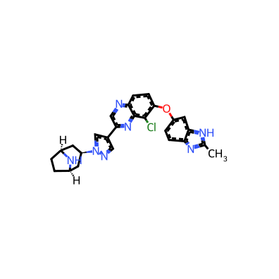 Cc1nc2ccc(Oc3ccc4ncc(-c5cnn([C@H]6C[C@H]7CC[C@@H](C6)N7)c5)nc4c3Cl)cc2[nH]1